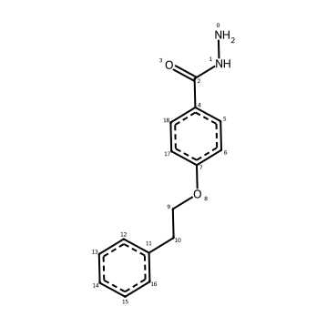 NNC(=O)c1ccc(OCCc2ccccc2)cc1